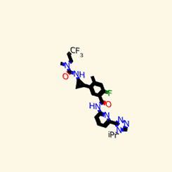 Cc1cc(F)c(C(=O)Nc2cccc(-c3nncn3C(C)C)n2)cc1C1CC1NC(=O)N(C)CCC(F)(F)F